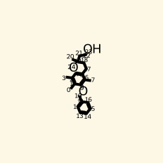 Cc1c(C)c2c(c(C)c1OCc1ccccc1)CCC(C)(CCO)O2